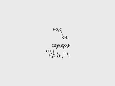 CC(=O)O.CC(=O)O.CC(=O)O.CC(=O)O.[AlH3]